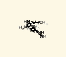 CCCCCOC1=CC(=Nc2ccc(CCNCCO)cc2C)C(N)=CC1=N